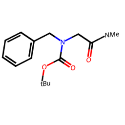 CNC(=O)CN(Cc1ccccc1)C(=O)OC(C)(C)C